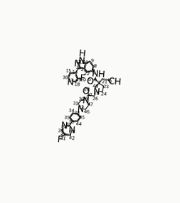 C#CCC1(C(=O)Nc2ccc3[nH]nc(-c4ccncc4F)c3c2)CCN(CC(=O)N2CCN(c3ccc(-c4ncc(F)cn4)cc3)CC2)C1